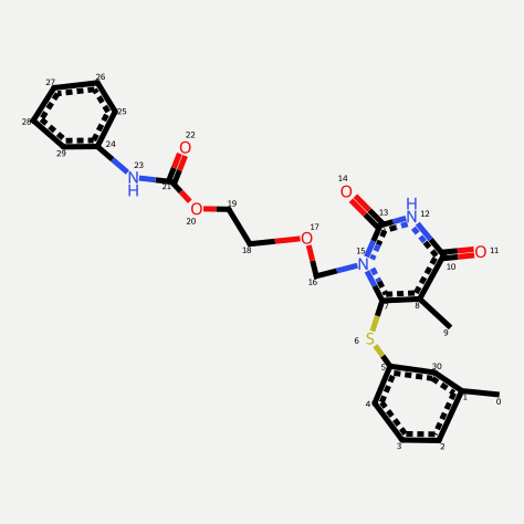 Cc1cccc(Sc2c(C)c(=O)[nH]c(=O)n2COCCOC(=O)Nc2ccccc2)c1